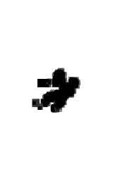 Cl.NCc1cccc(Oc2cc(Cl)ccc2N(Cc2ccc(-c3ccccc3)cc2)C(=O)CCC(=O)NCc2ccccc2F)c1